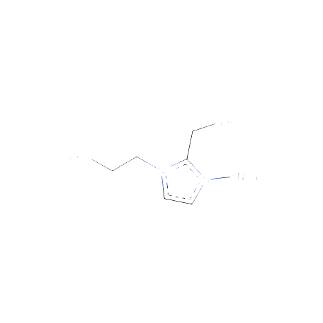 CCCCCCCCCCCC[n+]1ccn(CCCCCCCCC)c1CCCCCCCCCCC